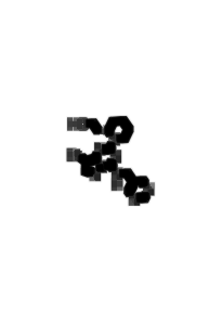 CCc1cnn2c(NCc3cncnc3)nc(N3CCCC[C@H]3CCO)nc12